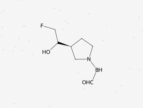 O=CBN1CC[C@H](C(O)CF)C1